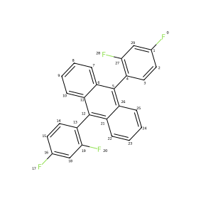 Fc1ccc(-c2c3ccccc3c(-c3ccc(F)cc3F)c3ccccc23)c(F)c1